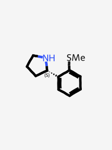 CSc1ccccc1[C@@H]1CCCN1